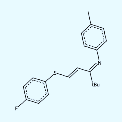 Cc1ccc(N=C(C=CSc2ccc(F)cc2)C(C)(C)C)cc1